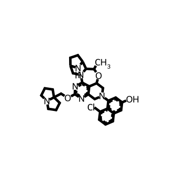 CC1OC2CN(c3cc(O)cc4cccc(Cl)c34)Cc3nc(OCC45CCCN4CCC5)nc(c32)N2CC3CCC(N3)C12